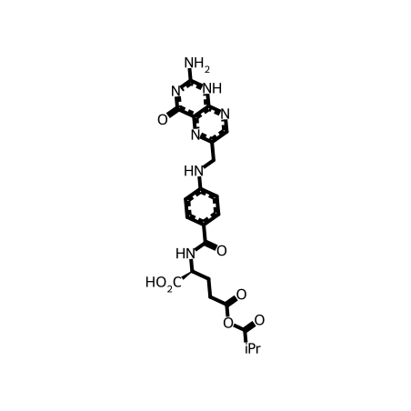 CC(C)C(=O)OC(=O)CC[C@H](NC(=O)c1ccc(NCc2cnc3[nH]c(N)nc(=O)c3n2)cc1)C(=O)O